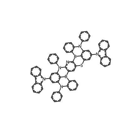 c1ccc(N2c3ccccc3B3c4nc5c(cc4Sc4cc(-n6c7ccccc7c7ccccc76)cc2c43)B2c3ccccc3N(c3ccccc3)c3cc(-n4c6ccccc6c6ccccc64)cc(c32)N5c2ccccc2)cc1